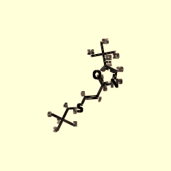 CC(C)(C)CSC=Cc1ncc(C(C)(C)C)o1